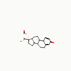 CCC(=O)O[C@]1(C(=S)OC(C)C)[C@@H](C)C[C@H]2[C@@H]3CCC4=CC(=O)C=C[C@]4(C)[C@@]3(F)[C@@H](O)C[C@@]21C